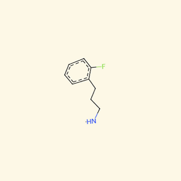 [NH]CCCc1ccccc1F